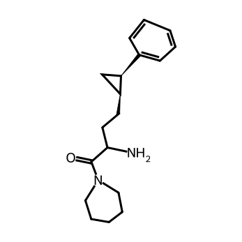 NC(CC[C@H]1C[C@H]1c1ccccc1)C(=O)N1CCCCC1